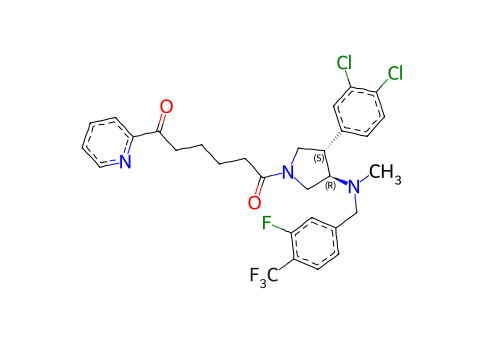 CN(Cc1ccc(C(F)(F)F)c(F)c1)[C@H]1CN(C(=O)CCCCC(=O)c2ccccn2)C[C@@H]1c1ccc(Cl)c(Cl)c1